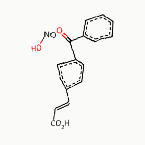 O=C(O)C=Cc1ccc(C(=O)c2ccccc2)cc1.O=NO